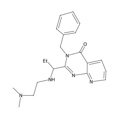 CCC(NCCN(C)C)c1nc2ncccc2c(=O)n1Cc1ccccc1